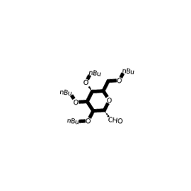 CCCCOCC1O[C@H](C=O)C(OCCCC)C(OCCCC)[C@@H]1OCCCC